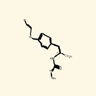 CC(C)(C)OC(=O)N[C@@H](Cc1ccc(NCCBr)cc1)C(=O)O